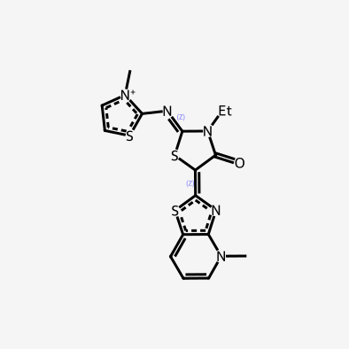 CCN1C(=O)/C(=c2\nc3c(s2)=CC=CN3C)S/C1=N\c1scc[n+]1C